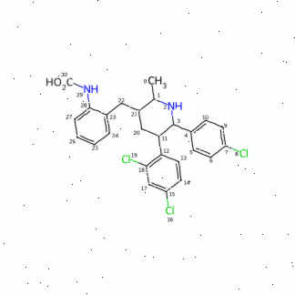 CC1NC(c2ccc(Cl)cc2)C(c2ccc(Cl)cc2Cl)CC1Cc1ccccc1NC(=O)O